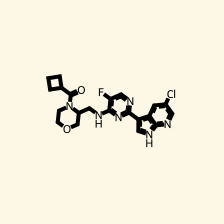 O=C(C1CCC1)N1CCOCC1CNc1nc(-c2c[nH]c3ncc(Cl)cc23)ncc1F